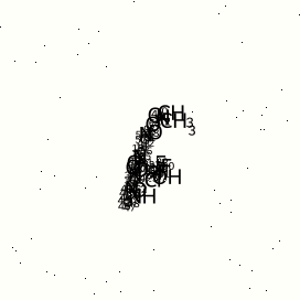 CN(C)C(=O)COC(=O)CN1CCC(C2CCN(C(=O)[C@@H](Cc3cc(Cl)c(O)c(C(F)(F)F)c3)OC(=O)N3CCC(N4CCc5ccccc5NC4=O)CC3)CC2)CC1